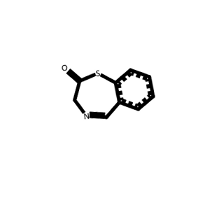 O=C1CN=Cc2ccccc2S1